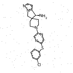 N[C@@H]1c2ccnn2CC12CCN(c1cnc(Sc3cccc(Cl)c3)cn1)CC2